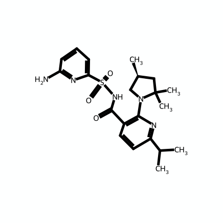 CC(C)c1ccc(C(=O)NS(=O)(=O)c2cccc(N)n2)c(N2C[C@@H](C)CC2(C)C)n1